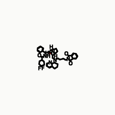 O=C(N[C@@H](CCN1[C@H]2CC[C@@H]1C(CN(CCCCN1C(=O)c3ccccc3C1=O)[C@H]1CCCc3cccnc31)NC2)c1ccccc1)C1CCC(F)(F)CC1